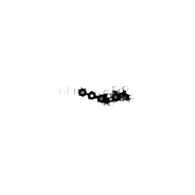 CCCc1ccc(-c2ccc(-c3ccc(C(F)(F)Oc4ccc(OC(F)(F)C=C(F)F)c(F)c4)c(F)c3)cc2)cc1